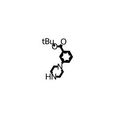 CC(C)(C)OC(=O)c1cccc(N2CCNCC2)c1